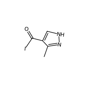 Cc1n[nH]cc1C(=O)I